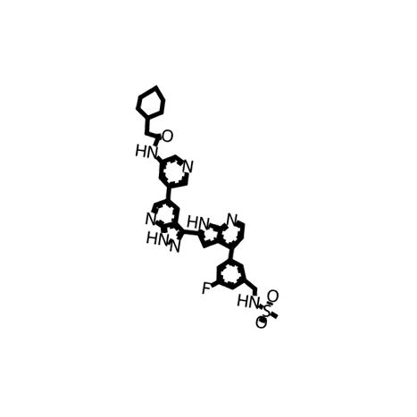 CS(=O)(=O)NCc1cc(F)cc(-c2ccnc3[nH]c(-c4n[nH]c5ncc(-c6cncc(NC(=O)CC7CCCCC7)c6)cc45)cc23)c1